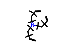 C=CC(C)(C)CC(C)(C)N(C(C)(C)CC(C)(C)C=C)C(C)(C)CC(C)(C)C=C